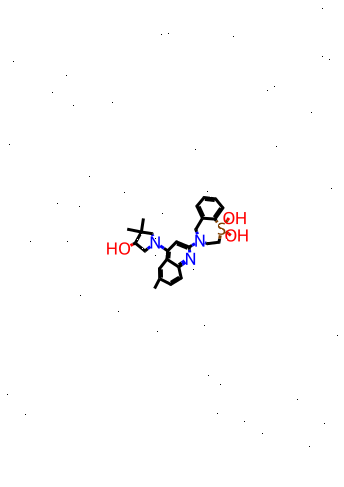 Cc1ccc2nc(N3CCS(O)(O)c4ccccc4C3)cc(N3CC(O)C(C)(C)C3)c2c1